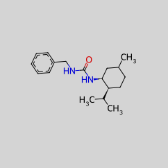 CC1CC[C@@H](C(C)C)[C@@H](NC(=O)NCc2ccccc2)C1